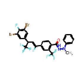 CN(NC(=O)c1ccc(C(F)=CC(c2cc(Br)c(F)c(Br)c2)C(F)(F)F)cc1C(F)(F)F)c1ccccc1